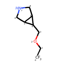 FC(F)(F)COCC1C2CNCC21